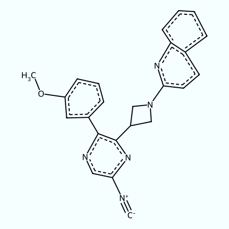 [C-]#[N+]c1cnc(-c2cccc(OC)c2)c(C2CN(c3ccc4ccccc4n3)C2)n1